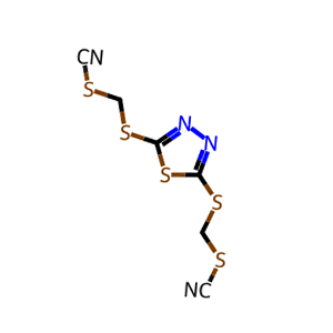 N#CSCSc1nnc(SCSC#N)s1